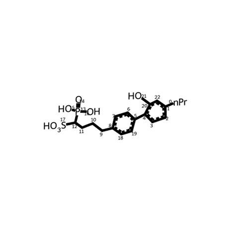 CCCc1ccc(-c2ccc(CCCC(P(=O)(O)O)S(=O)(=O)O)cc2)c(O)c1